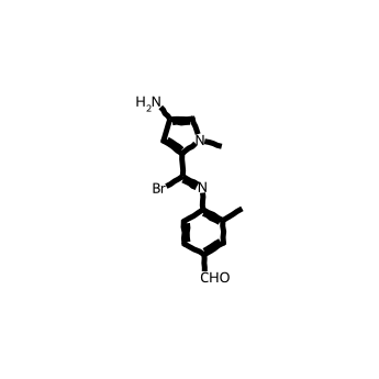 Cc1cc(C=O)ccc1/N=C(\Br)c1cc(N)cn1C